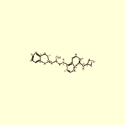 O[C@@H](CNc1ncnc2c(NC3COC3)nccc12)CN1CCc2ccccc2C1